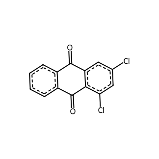 O=C1c2ccccc2C(=O)c2c(Cl)cc(Cl)cc21